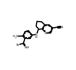 N#Cc1cnc2c(c1)CCCC2Nc1ccc(N)c(C(=N)Br)c1